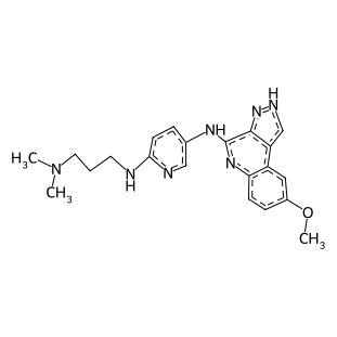 COc1ccc2nc(Nc3ccc(NCCCN(C)C)nc3)c3n[nH]cc3c2c1